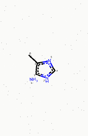 Cc1c[nH]cn1.N